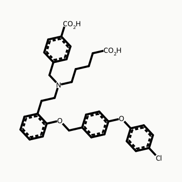 O=C(O)CCCCN(CCc1ccccc1OCc1ccc(Oc2ccc(Cl)cc2)cc1)Cc1ccc(C(=O)O)cc1